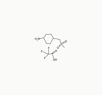 CS(=O)(=O)CC1CCC(N)CC1.O=C(O)C(F)(F)F